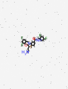 NCCC1Sc2ccc(C(=O)NCc3ccc(F)cc3F)cc2N(Cc2cc(F)cc(F)c2)C1=O